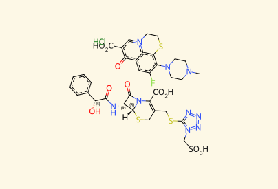 CN1CCN(c2c(F)cc3c(=O)c(C(=O)O)cn4c3c2SCC4)CC1.Cl.O=C(O)C1=C(CSc2nnnn2CS(=O)(=O)O)CS[C@@H]2[C@H](NC(=O)[C@H](O)c3ccccc3)C(=O)N12